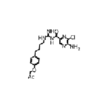 CC(=O)COc1ccc(CCCCNC(=N)NC(=O)c2cnc(N)c(Cl)n2)cc1